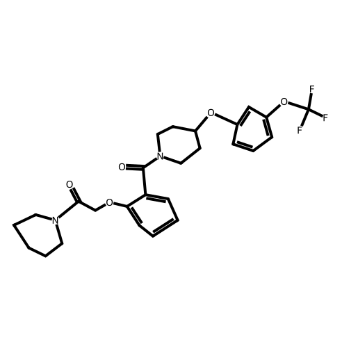 O=C(COc1ccccc1C(=O)N1CCC(Oc2cccc(OC(F)(F)F)c2)CC1)N1CCCCC1